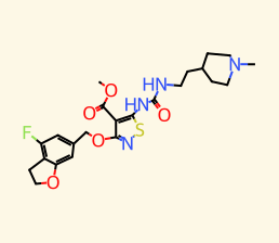 COC(=O)c1c(OCc2cc(F)c3c(c2)OCC3)nsc1NC(=O)NCCC1CCN(C)CC1